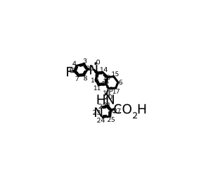 CN(c1ccc(F)cc1)c1ccc2c(c1)CCC[C@H]2CNc1cnccc1C(=O)O